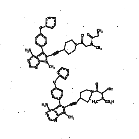 C=CC(=O)N(C)CC(=O)N1CCC(C#Cc2c(-c3ccc(Oc4ccccc4)cc3)c3c(N)ncnc3n2C)CC1.CN(C(=O)O)C(C(=O)N1CCC(C#Cc2c(-c3ccc(Oc4ccccc4)cc3)c3c(N)ncnc3n2C)CC1)C(C)(C)C